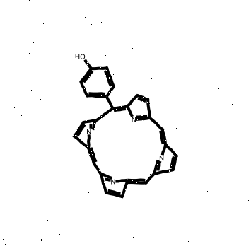 Oc1ccc(C2=C3C=CC(=N3)C=C3C=CC(=N3)C=C3C=CC(=N3)C=C3C=CC2=N3)cc1